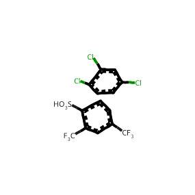 Clc1ccc(Cl)c(Cl)c1.O=S(=O)(O)c1ccc(C(F)(F)F)cc1C(F)(F)F